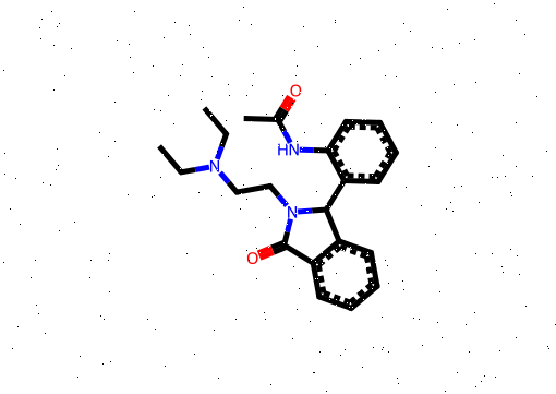 CCN(CC)CCN1C(=O)c2ccccc2C1c1ccccc1NC(C)=O